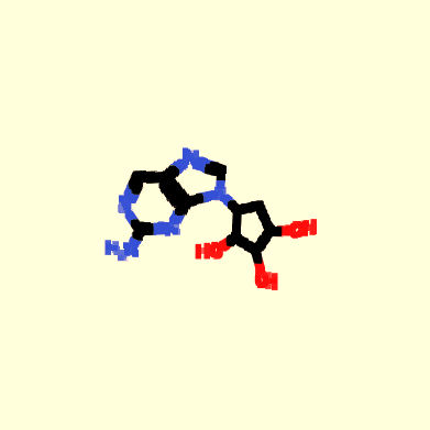 Nc1ncc2ncn(C3CC(O)C(O)C3O)c2n1